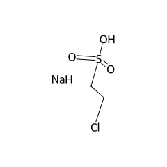 O=S(=O)(O)CCCl.[NaH]